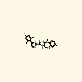 Cc1cc(F)cc(F)c1-c1ccnc(C(=O)N[C@H]2COc3cc(F)cnc3N(C)C2=O)n1